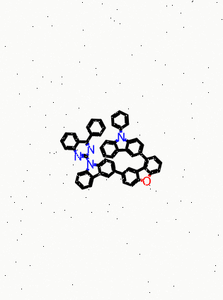 c1ccc(-c2nc(-n3c4ccccc4c4cc(-c5ccc6oc7cccc(-c8ccc9c(c8)c8ccccc8n9-c8ccccc8)c7c6c5)ccc43)nc3ccccc23)cc1